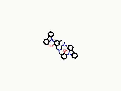 Cc1cc(CN(CCN(C)C)Cc2cccc(-n3c4ccccc4c4ccccc43)c2O)c(O)c(-n2c3ccccc3c3ccccc32)c1